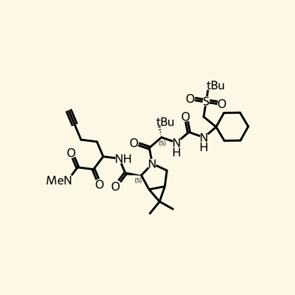 C#CCCC(NC(=O)[C@@H]1C2C(CN1C(=O)[C@@H](NC(=O)NC1(CS(=O)(=O)C(C)(C)C)CCCCC1)C(C)(C)C)C2(C)C)C(=O)C(=O)NC